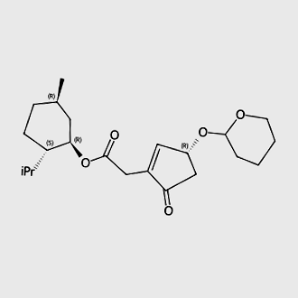 CC(C)[C@@H]1CC[C@@H](C)C[C@H]1OC(=O)CC1=C[C@H](OC2CCCCO2)CC1=O